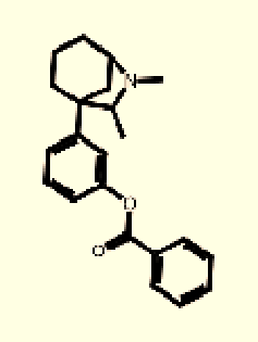 CC1N(C)C2CCCC1(c1cccc(OC(=O)c3ccccc3)c1)C2